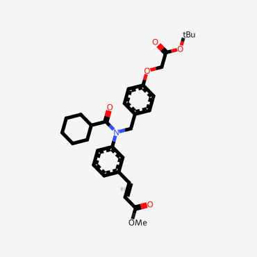 COC(=O)/C=C/c1cccc(N(Cc2ccc(OCC(=O)OC(C)(C)C)cc2)C(=O)C2CCCCC2)c1